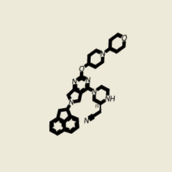 N#CC[C@H]1CN(c2nc(OC3CCN(C4CCOCC4)CC3)nc3c2CN(C2Cc4cccc5cccc2c45)C3)CCN1